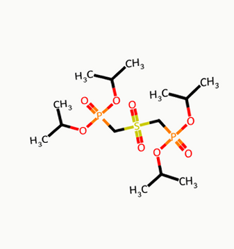 CC(C)OP(=O)(CS(=O)(=O)CP(=O)(OC(C)C)OC(C)C)OC(C)C